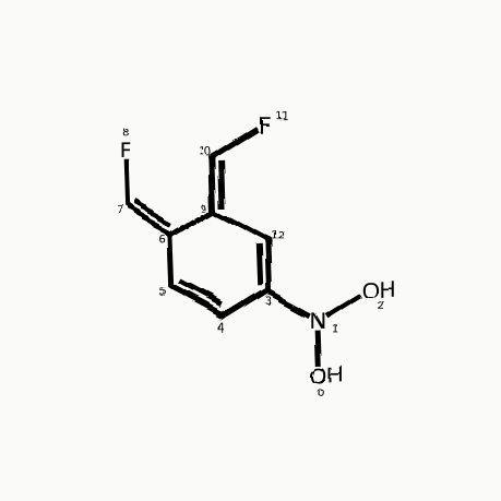 ON(O)c1ccc(=CF)c(=CF)c1